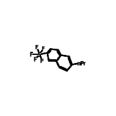 CCCc1ccc2cc(S(F)(F)(F)(F)F)ccc2c1